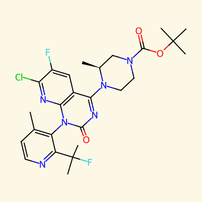 Cc1ccnc(C(C)(C)F)c1-n1c(=O)nc(N2CCN(C(=O)OC(C)(C)C)C[C@@H]2C)c2cc(F)c(Cl)nc21